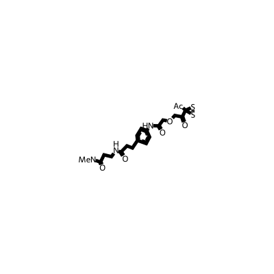 CNC(=O)CCNC(=O)CCc1ccc(NC(=O)COCC(=O)C2(C(C)=O)SS2)cc1